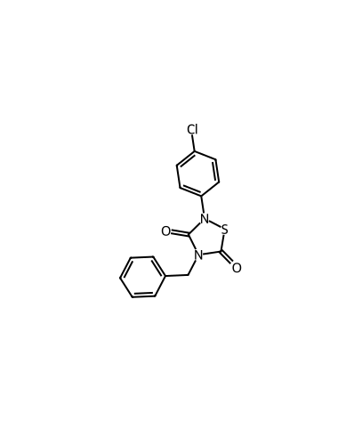 O=c1sn(-c2ccc(Cl)cc2)c(=O)n1Cc1ccccc1